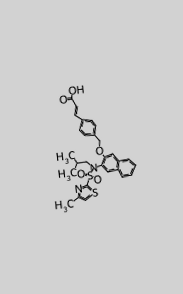 Cc1csc(S(=O)(=O)N(CC(C)C)c2cc3ccccc3cc2OCc2ccc(C=CC(=O)O)cc2)n1